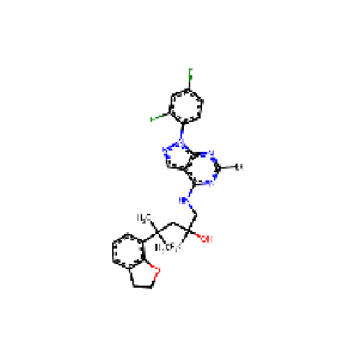 CCc1nc(NCC(O)(CC(C)(C)c2cccc3c2OCC3)C(F)(F)F)c2cnn(-c3ccc(F)cc3F)c2n1